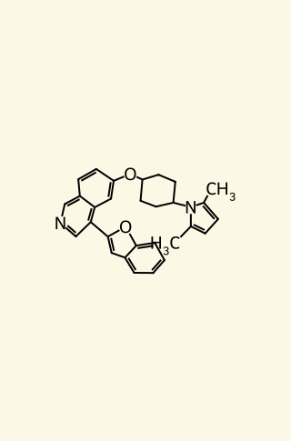 Cc1ccc(C)n1C1CCC(Oc2ccc3cncc(-c4cc5ccccc5o4)c3c2)CC1